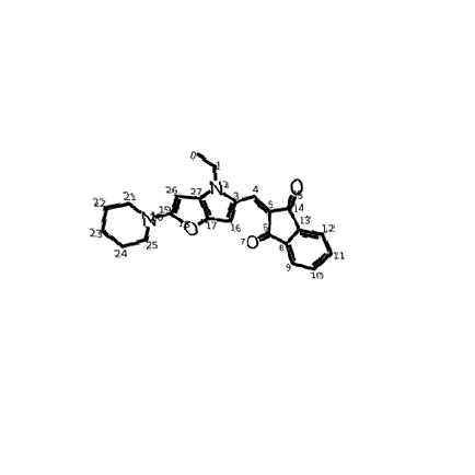 CCn1c(C=C2C(=O)c3ccccc3C2=O)cc2oc(N3CCCCC3)cc21